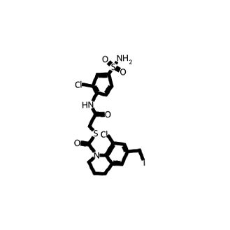 NS(=O)(=O)c1ccc(NC(=O)CSC(=O)N2CCCc3cc(CI)cc(Cl)c32)c(Cl)c1